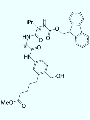 COC(=O)CCCCc1cc(NC(=O)[C@H](C)NC(=O)[C@@H](NC(=O)OCC2c3ccccc3-c3ccccc32)C(C)C)ccc1CO